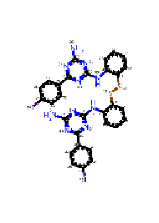 Nc1nc(Nc2ccccc2SSc2ccccc2Nc2nc(N)nc(-c3ccc(I)cc3)n2)nc(-c2ccc(I)cc2)n1